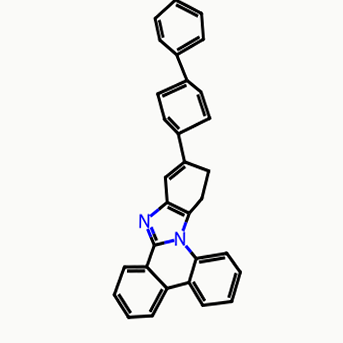 C1=C(c2ccc(-c3ccccc3)cc2)CCc2c1nc1c3ccccc3c3ccccc3n21